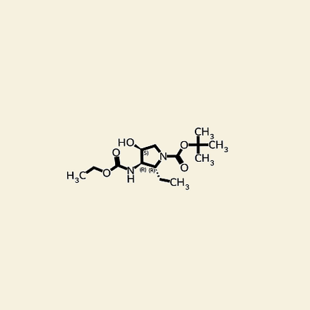 CCOC(=O)N[C@@H]1[C@@H](CC)N(C(=O)OC(C)(C)C)C[C@@H]1O